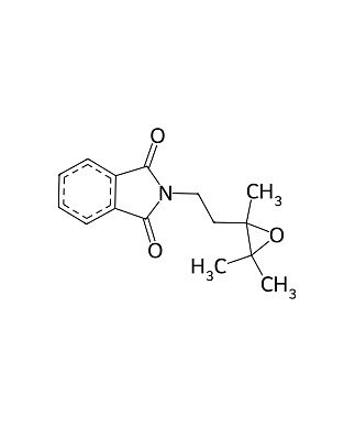 CC1(C)OC1(C)CCN1C(=O)c2ccccc2C1=O